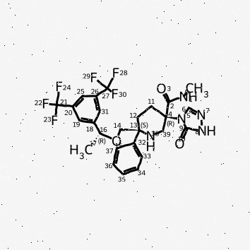 CNC(=O)[C@@]1(n2cn[nH]c2=O)CC[C@@](CO[C@H](C)c2cc(C(F)(F)F)cc(C(F)(F)F)c2)(c2ccccc2)NC1